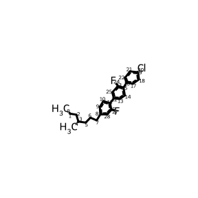 CCCC(C)CCCc1ccc(-c2ccc(-c3ccc(Cl)cc3)c(F)c2)c(F)c1